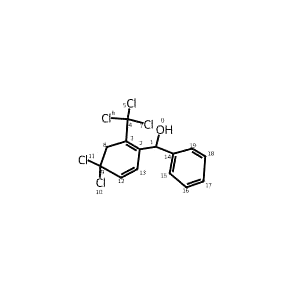 OC(C1=C(C(Cl)(Cl)Cl)CC(Cl)(Cl)C=C1)c1ccccc1